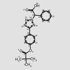 CC(C)(C)C(=O)Oc1ccc(-c2nnn(C(C(=O)O)c3ccccc3)n2)cc1